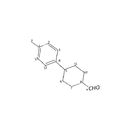 Cc1ccc(C2CCC(C=O)CC2)cc1